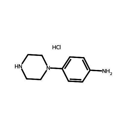 Cl.Nc1ccc(N2CCNCC2)cc1